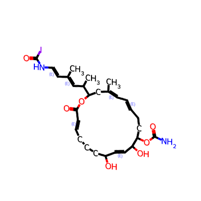 CC(/C=C/NC(=O)I)=C\C(C)C1C/C(C)=C/C=C/CCC(OC(N)=O)C(O)/C=C/C(O)CCC/C=C/C(=O)O1